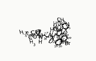 COc1cncc2c1[C@]1(O)[C@H](O)[C@H](C(=O)NCCNC(=O)OC(C)(C)C)[C@@H](c3ccccc3)[C@]1(c1ccc(Br)cc1)O2